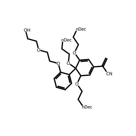 C=C(C#N)C1=CC(OCCCCCCCCCCCC)C(OCCCCCCCCCCCC)(c2ccccc2OCCOCCO)C(OCCCCCCCCCCCC)=C1